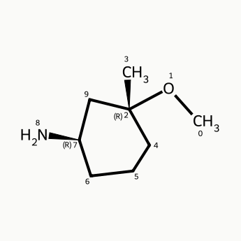 CO[C@]1(C)CCC[C@@H](N)C1